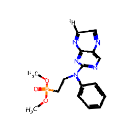 [2H]c1cnc2cnc(N(CCP(=O)(OC)OC)c3ccccc3)nc2n1